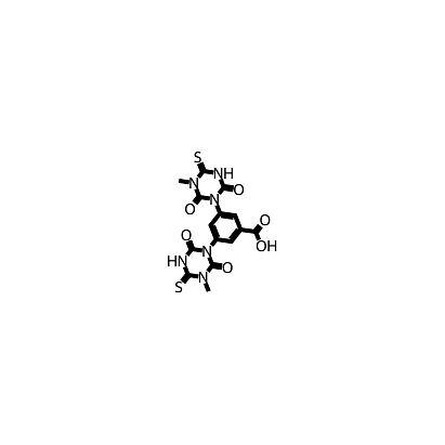 Cn1c(=S)[nH]c(=O)n(-c2cc(C(=O)O)cc(-n3c(=O)[nH]c(=S)n(C)c3=O)c2)c1=O